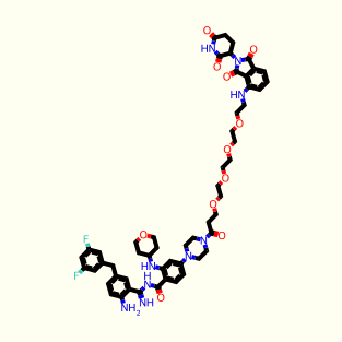 N=C(NC(=O)c1ccc(N2CCN(C(=O)CCOCCOCCOCCOCCNc3cccc4c3C(=O)N(C3CCC(=O)NC3=O)C4=O)CC2)cc1NC1CCOCC1)c1cc(Cc2cc(F)cc(F)c2)ccc1N